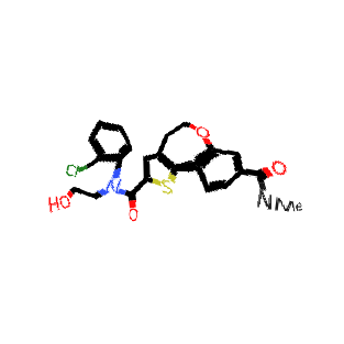 CNC(=O)c1ccc2c(c1)OCCc1cc(C(=O)N(CCO)c3ccccc3Cl)sc1-2